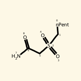 CCCCCCS(=O)(=O)CC(N)=O